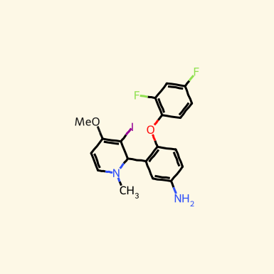 COC1=C(I)C(c2cc(N)ccc2Oc2ccc(F)cc2F)N(C)C=C1